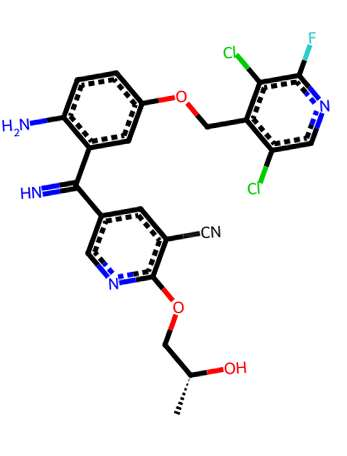 C[C@@H](O)COc1ncc(C(=N)c2cc(OCc3c(Cl)cnc(F)c3Cl)ccc2N)cc1C#N